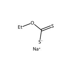 CCOC(=S)[S-].[Na+]